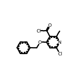 Cc1nc(Cl)cc(OCc2ccccc2)c1C(=O)Cl